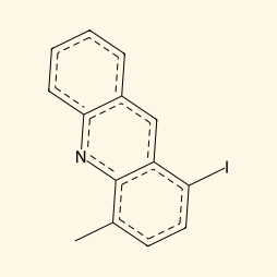 Cc1ccc(I)c2cc3ccccc3nc12